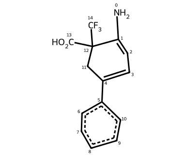 NC1=CC=C(c2ccccc2)CC1(C(=O)O)C(F)(F)F